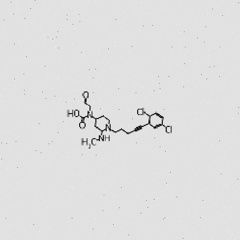 CNC1CC(N(CC=O)C(=O)O)CCN1CCCC#Cc1cc(Cl)ccc1Cl